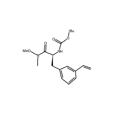 C=Cc1cccc(C[C@H](NC(=O)OC(C)(C)C)C(=O)N(C)OC)c1